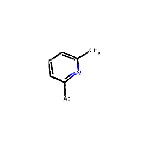 CC(=O)c1cccc(C(F)(F)F)n1